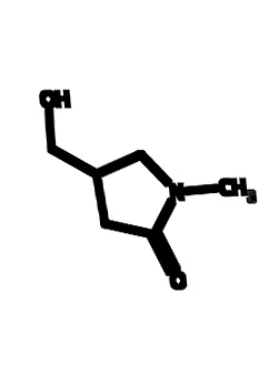 CN1CC(CO)CC1=O